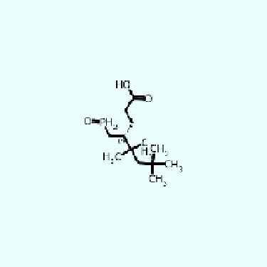 CC(C)(C)CC(C)(C)[C@@H](CCC(=O)O)C[PH2]=O